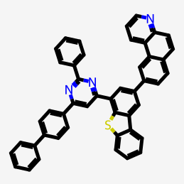 c1ccc(-c2ccc(-c3cc(-c4cc(-c5ccc6ccc7ncccc7c6c5)cc5c4sc4ccccc45)nc(-c4ccccc4)n3)cc2)cc1